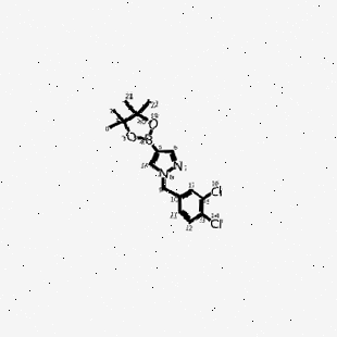 CC1(C)OB(c2cnn(Cc3ccc(Cl)c(Cl)c3)c2)OC1(C)C